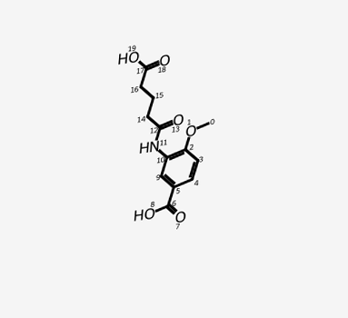 COc1ccc(C(=O)O)cc1NC(=O)CCCC(=O)O